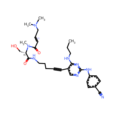 CCCNc1nc(Nc2ccc(C#N)cc2)ncc1C#CCCCNC(=O)[C@H](CO)N(C)C(=O)/C=C/CN(C)C